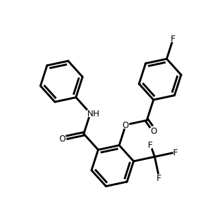 O=C(Oc1c(C(=O)Nc2ccccc2)cccc1C(F)(F)F)c1ccc(F)cc1